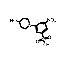 CS(=O)(=O)c1cc(N2CCC(O)CC2)cc([N+](=O)[O-])c1